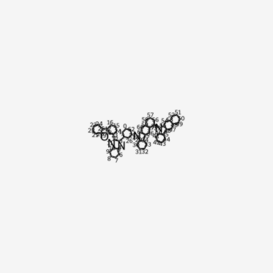 c1cc(-c2nc3ccccc3nc2-c2cccc3c2oc2ccccc23)cc(-n2c3ccccc3c3cc4c(-n5c6ccccc6c6cc7ccccc7cc65)cccc4cc32)c1